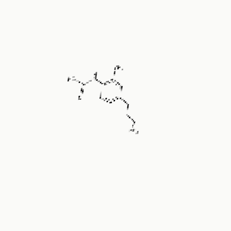 Cc1cc(CCCN)ccc1NC(=O)O